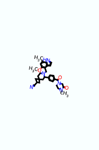 COc1cc(C)c2[nH]ccc2c1CN1CCC2(CC(C#N)C2)CC1c1ccc(C(=O)N2CCN(C)C(=O)C2)cc1